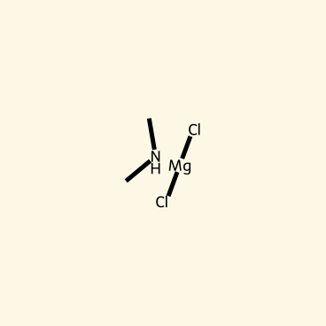 CNC.[Cl][Mg][Cl]